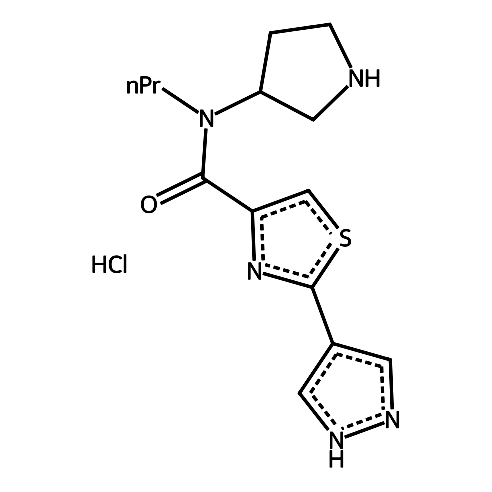 CCCN(C(=O)c1csc(-c2cn[nH]c2)n1)C1CCNC1.Cl